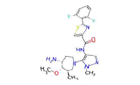 CO[C@H]1[C@H](C)CN(c2c(NC(=O)c3csc(-c4c(F)cccc4F)n3)cnn2C)CC[C@H]1N